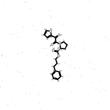 O=C(C(=O)N1CCC[C@H]1C(=O)OCCCc1ccccc1)c1ccco1